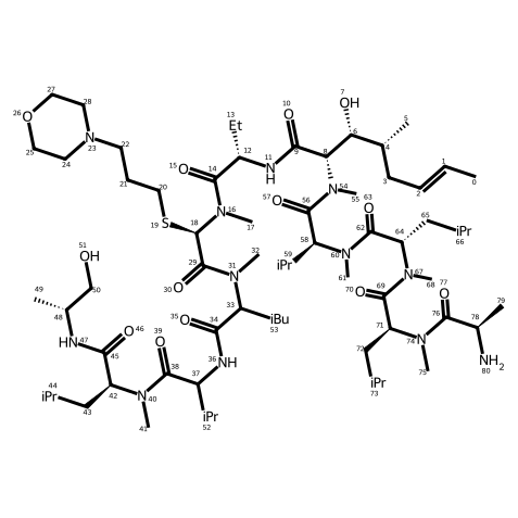 C/C=C/C[C@@H](C)[C@@H](O)[C@@H](C(=O)N[C@@H](CC)C(=O)N(C)[C@H](SCCCN1CCOCC1)C(=O)N(C)C(C(=O)NC(C(=O)N(C)[C@@H](CC(C)C)C(=O)N[C@H](C)CO)C(C)C)C(C)CC)N(C)C(=O)[C@H](C(C)C)N(C)C(=O)[C@H](CC(C)C)N(C)C(=O)[C@H](CC(C)C)N(C)C(=O)[C@@H](C)N